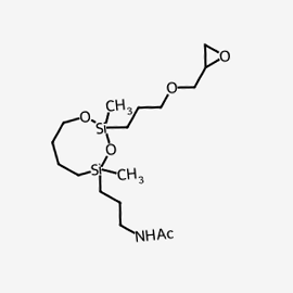 CC(=O)NCCC[Si]1(C)CCCCO[Si](C)(CCCOCC2CO2)O1